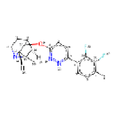 Cc1ccc(-c2ccc(O[C@@H]3C4CCN(CC4)[C@H]3C)nn2)c(F)c1F